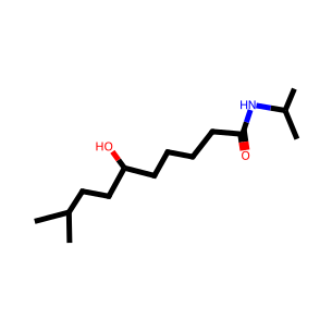 CC(C)CCC(O)CCCCC(=O)NC(C)C